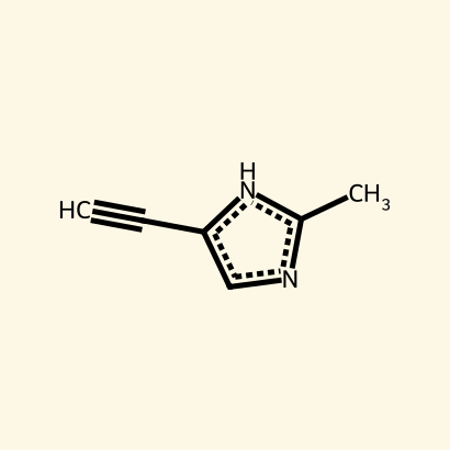 C#Cc1cnc(C)[nH]1